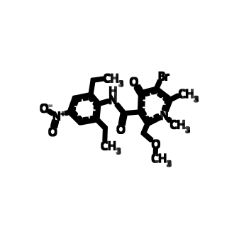 CCc1cc([N+](=O)[O-])cc(CC)c1NC(=O)c1c(COC)n(C)c(C)c(Br)c1=O